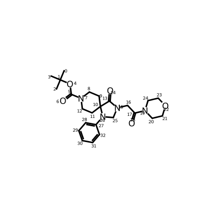 CC(C)(C)OC(=O)N1CCC2(CC1)C(=O)N(CC(=O)N1CCOCC1)CN2c1ccccc1